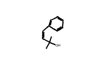 CC(C)(O)/C=C\c1ccccc1